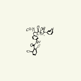 CC1(C(=O)N[C@@H](Cc2ccc(NC(=O)c3c(Cl)cccc3Cl)cc2)C(=O)O)CC(c2cccnc2)=NO1